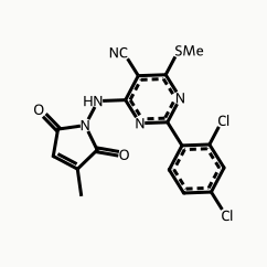 CSc1nc(-c2ccc(Cl)cc2Cl)nc(NN2C(=O)C=C(C)C2=O)c1C#N